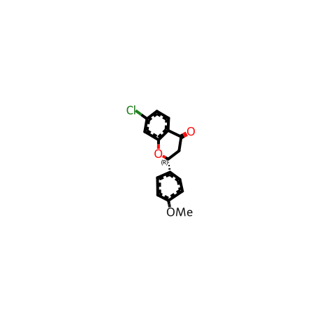 COc1ccc([C@H]2CC(=O)c3ccc(Cl)cc3O2)cc1